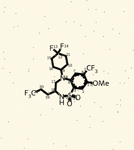 COc1cc2c(cc1C(F)(F)F)N(C1CCC(F)(F)CC1)CC(CCC(F)(F)F)NS2(=O)=O